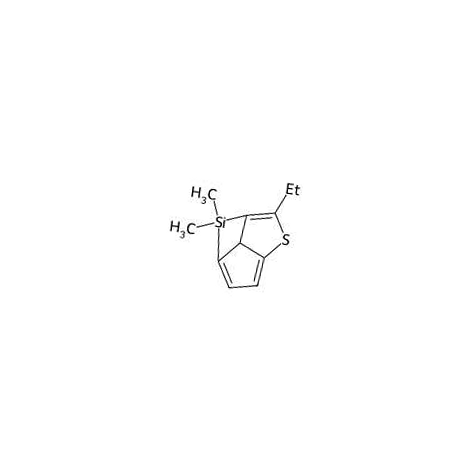 CCC1=C2C3C(=CC=C3[Si]2(C)C)S1